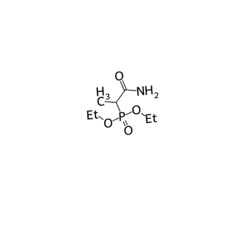 CCOP(=O)(OCC)C(C)C(N)=O